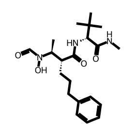 CNC(=O)[C@H](NC(=O)[C@H](CCCc1ccccc1)[C@H](C)N(O)C=O)C(C)(C)C